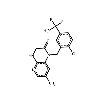 Cc1cnc2c(c1)N(Cc1cc(C(F)(F)P)ccc1Cl)C(=O)CN2